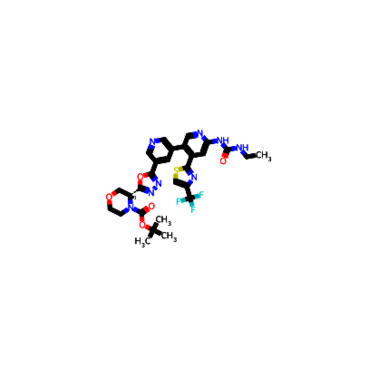 CCNC(=O)Nc1cc(-c2nc(C(F)(F)F)cs2)c(-c2cncc(-c3nnc([C@H]4COCCN4C(=O)OC(C)(C)C)o3)c2)cn1